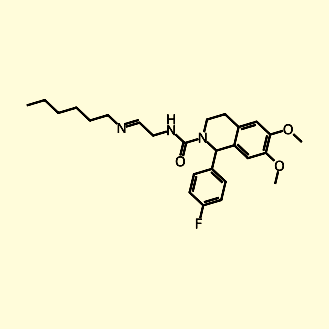 CCCCCCN=CCNC(=O)N1CCc2cc(OC)c(OC)cc2C1c1ccc(F)cc1